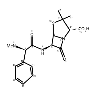 CN[C@@H](C(=O)N[C@@H]1C(=O)N2C1SC(C)(C)[C@@H]2C(=O)O)c1ccccc1